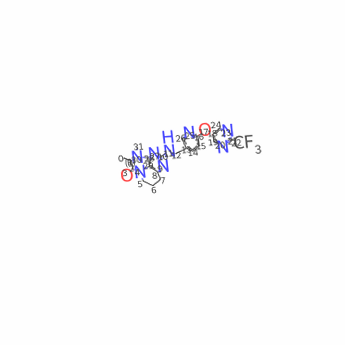 C[C@@H]1C(=O)N2CCCc3nc(NCc4ccc(Oc5cnc(C(F)(F)F)nc5)nc4)nc(c32)N1C